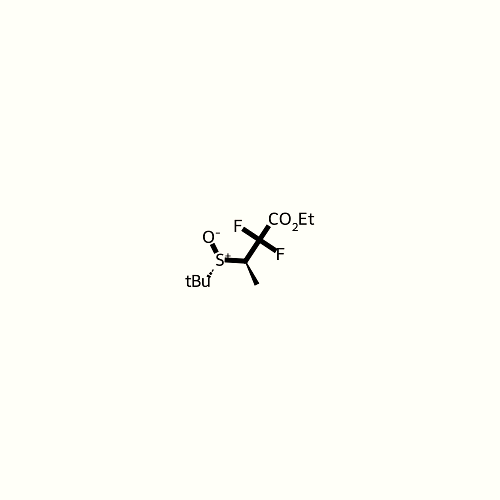 CCOC(=O)C(F)(F)[C@@H](C)[S@@+]([O-])C(C)(C)C